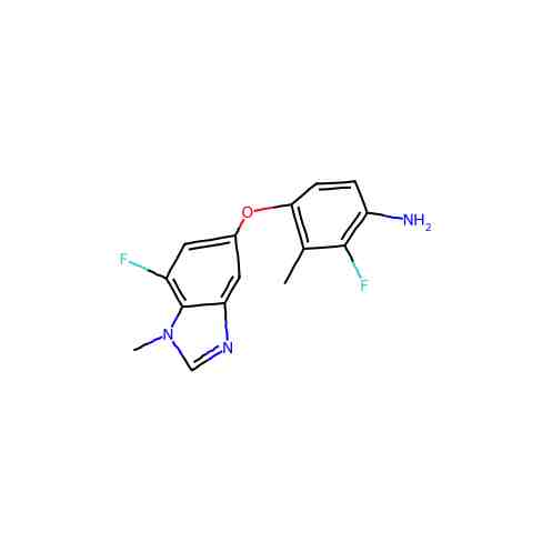 Cc1c(Oc2cc(F)c3c(c2)ncn3C)ccc(N)c1F